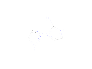 Nc1ncc[nH]1.c1c[nH]nn1